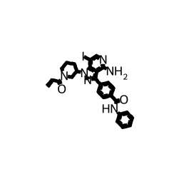 C=CC(=O)N1CCCC(n2nc(-c3ccc(C(=O)Nc4ccccc4)cc3)c3c(N)ncc(I)c32)C1